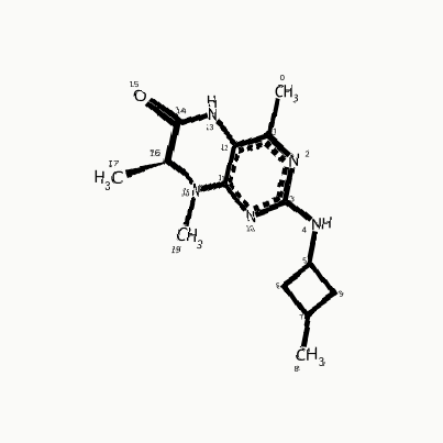 Cc1nc(NC2CC(C)C2)nc2c1NC(=O)[C@H](C)N2C